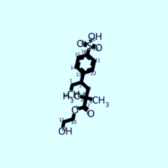 CCC(CC(C)(C)C(=O)OCCO)c1ccc(S(=O)(=O)O)cc1